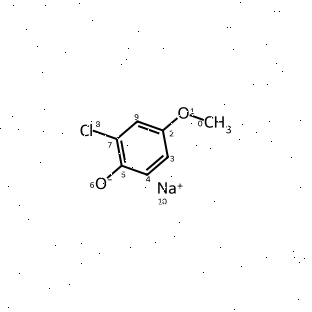 COc1ccc([O-])c(Cl)c1.[Na+]